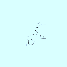 CC(C)(C)[Si](C)(C)OC1C[C@@H](/C=C/P(=O)(O)O)O[C@H]1n1cnc2c(N)ncnc21